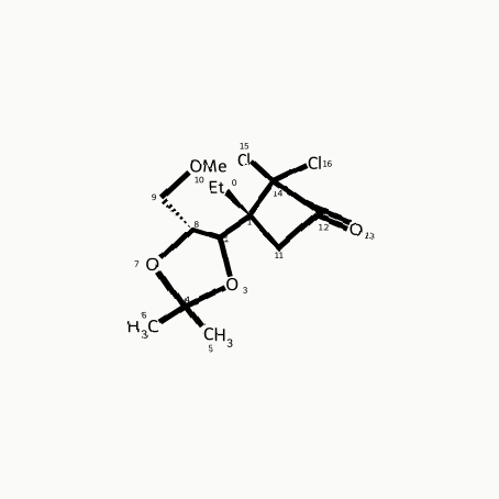 CC[C@]1(C2OC(C)(C)O[C@@H]2COC)CC(=O)C1(Cl)Cl